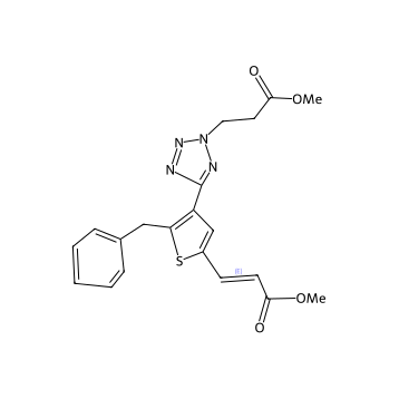 COC(=O)/C=C/c1cc(-c2nnn(CCC(=O)OC)n2)c(Cc2ccccc2)s1